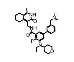 CCN(c1cc(-c2cccc(CN(C)C)c2)cc(C(=O)NCc2c3c(c(C)[nH]c2=O)CCCC3)c1F)C1CCOCC1